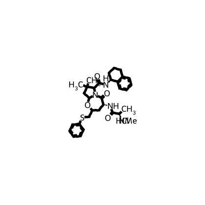 CN[C@H](C)C(=O)N[C@@H]1CC(CSc2ccccc2)OC2CC(C)(C)C(C(=O)N[C@H]3CCCc4ccccc43)N2C1=O.Cl